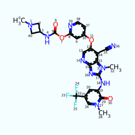 CN1CC(NC(=O)Oc2cc(Oc3cnc4nc(Nc5cc(C(F)(F)F)cn(C)c5=O)n(C)c4c3C#N)ccn2)C1